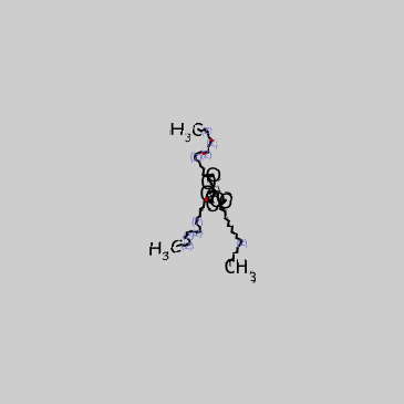 CC/C=C\C/C=C\C/C=C\C/C=C\CCCCC(=O)OC[C@H](COC(=O)CCCCCCCCC/C=C\CCCCCC)OC(=O)CCCC/C=C\C/C=C\C/C=C\C/C=C\CC